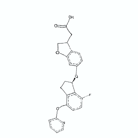 O=C(O)CC1COc2cc(O[C@@H]3CCc4c(Oc5ccccn5)ccc(F)c43)ccc21